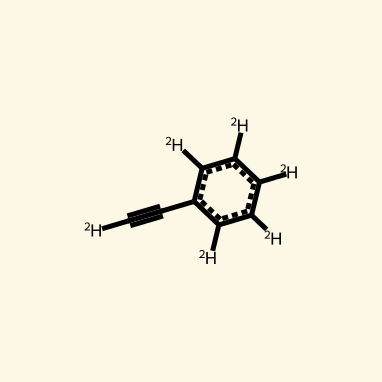 [2H]C#Cc1c([2H])c([2H])c([2H])c([2H])c1[2H]